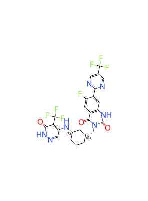 O=c1[nH]ncc(N[C@H]2CCC[C@@H](Cn3c(=O)[nH]c4cc(-c5ncc(C(F)(F)F)cn5)c(F)cc4c3=O)C2)c1C(F)(F)F